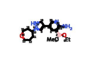 CCOB(OC)c1cc(C2=CN(C3CCCOCC3)NC2)cnc1N